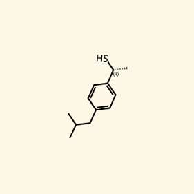 CC(C)Cc1ccc([C@@H](C)S)cc1